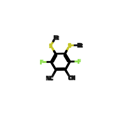 CCSc1c(F)c(C#N)c(C#N)c(F)c1SCC